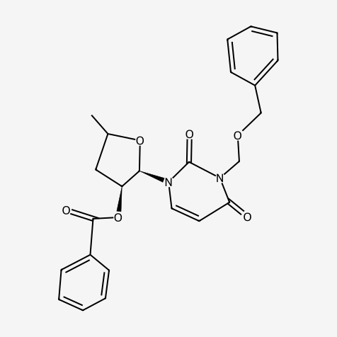 CC1C[C@H](OC(=O)c2ccccc2)[C@H](n2ccc(=O)n(COCc3ccccc3)c2=O)O1